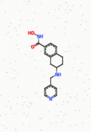 O=C(NO)c1ccc2c(c1)CC(NCc1ccncc1)CC2